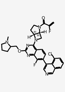 C=C(F)C(=O)N1CC[C@@H]2[C@H]1CN2c1nc(OCC2CCCN2C)nc2c(F)c(-c3cncc4cccc(Cl)c34)ccc12